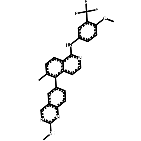 CNc1ncc2cc(-c3c(C)ccc4c(Nc5ccc(OC)c(C(F)(F)F)c5)nccc34)ccc2n1